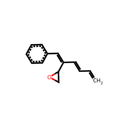 C=CC=CC(=Cc1ccccc1)C1CO1